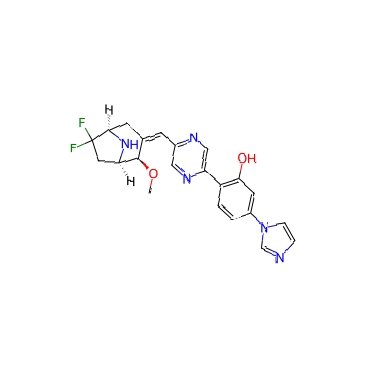 CO[C@@H]1/C(=C\c2cnc(-c3ccc(-n4ccnc4)cc3O)cn2)C[C@H]2N[C@@H]1CC2(F)F